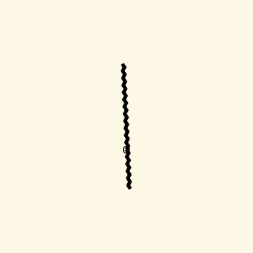 CCCCCCCCCCCCCCCCCCCCCCCCOCCCCCCCCCCC